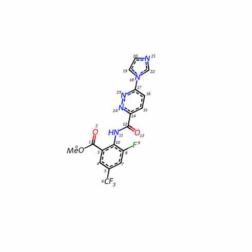 COC(=O)c1cc(C(F)(F)F)cc(F)c1NC(=O)c1ccc(-n2ccnc2)nn1